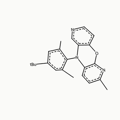 Cc1ccc2c(n1)Oc1ccncc1N2c1c(C)cc(C(C)(C)C)cc1C